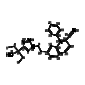 CCC(O)(CC)c1cn(CCc2ccc3c(c2)N(c2ccccc2)C(C#N)C=C3)nn1